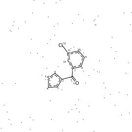 O=C(c1ccsc1)c1cccc(Cl)c1